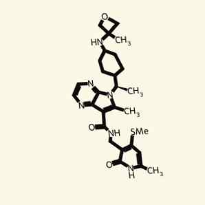 CSc1cc(C)[nH]c(=O)c1CNC(=O)c1c(C)n([C@H](C)C2CCC(NC3(C)COC3)CC2)c2nccnc12